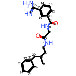 CC(CCNC(=O)CNC(=O)c1cccc(C(=N)N)c1)Cc1ccccc1